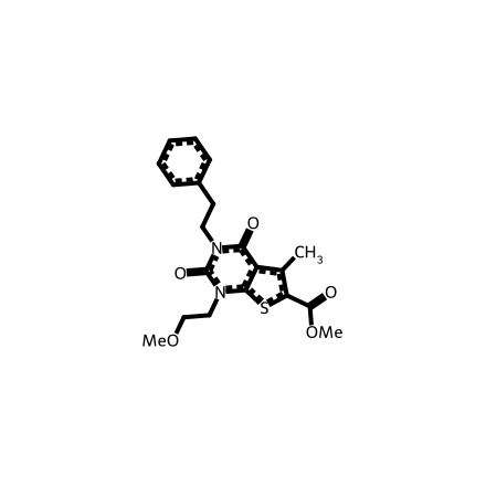 COCCn1c(=O)n(CCc2ccccc2)c(=O)c2c(C)c(C(=O)OC)sc21